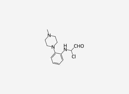 CN1CCN(c2ccccc2NC(Cl)C=O)CC1